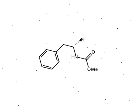 COC(=O)N[C@H](Cc1ccccc1)C(C)C